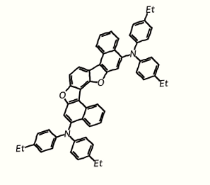 CCc1ccc(N(c2ccc(CC)cc2)c2cc3oc4c(ccc5oc6cc(N(c7ccc(CC)cc7)c7ccc(CC)cc7)c7ccccc7c6c54)c3c3ccccc23)cc1